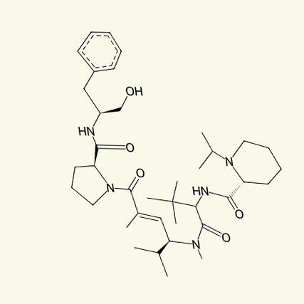 C/C(=C\[C@H](C(C)C)N(C)C(=O)C(NC(=O)[C@H]1CCCCN1C(C)C)C(C)(C)C)C(=O)N1CCC[C@H]1C(=O)N[C@H](CO)Cc1ccccc1